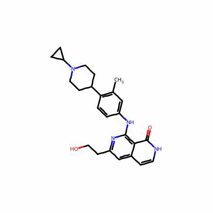 Cc1cc(Nc2nc(CCO)cc3cc[nH]c(=O)c23)ccc1C1CCN(C2CC2)CC1